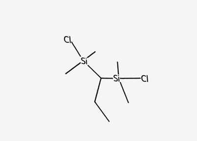 CCC([Si](C)(C)Cl)[Si](C)(C)Cl